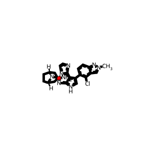 Cn1cc2c(Cl)c(-c3c[nH]c4nc(N5[C@@H]6CC[C@H]5CC(N)C6)n5ccnc5c34)ccc2n1